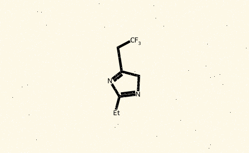 CCC1=NCC(CC(F)(F)F)=N1